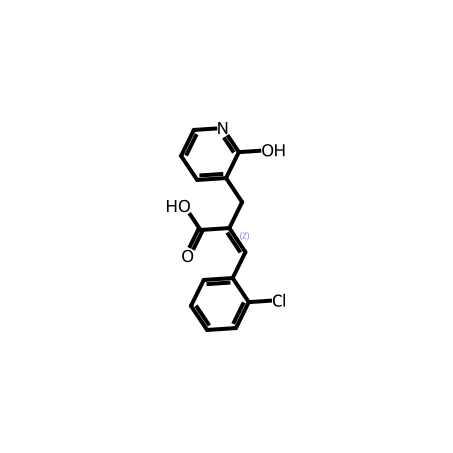 O=C(O)/C(=C\c1ccccc1Cl)Cc1cccnc1O